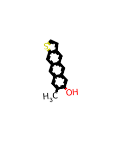 Cc1cc2cc3cc4sccc4cc3cc2cc1O